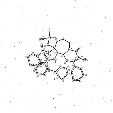 CC(C)(C)OC(=O)N1CCCC(NC(=O)c2ccccc2OCc2ccccc2)(O[Si](C)(C)C(C)(C)C)C(NC(=O)c2ccccc2)C1OC(=O)c1ccccc1